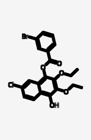 CCOc1c(OCC)c(OC(=O)c2cccc(Br)c2)c2cc(Cl)ccc2c1O